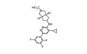 O=C(O)N1C[C@H]2CC(Nc3nnc(-c4cc(F)cc(F)c4F)cc3C3CC3)C[C@H]2C1